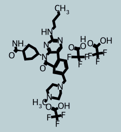 CCCCNc1ncc2c3ccc(CN4CCN(C)CC4)cc3c(=O)n([C@H]3CC[C@H](C(N)=O)CC3)c2n1.O=C(O)C(F)(F)F.O=C(O)C(F)(F)F.O=C(O)C(F)(F)F